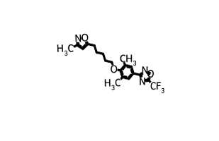 Cc1cc(CCCCCOc2c(C)cc(-c3noc(C(F)(F)F)n3)cc2C)on1